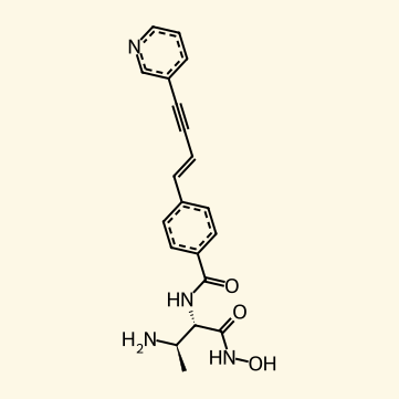 C[C@@H](N)[C@H](NC(=O)c1ccc(/C=C/C#Cc2cccnc2)cc1)C(=O)NO